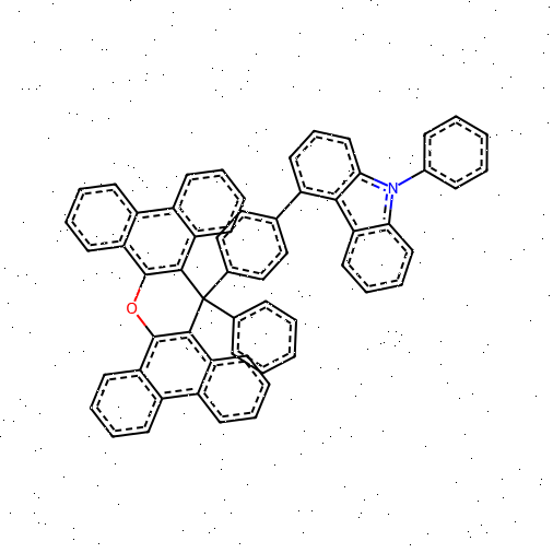 c1ccc(-n2c3ccccc3c3c(-c4ccc(C5(c6ccccc6)c6c(c7ccccc7c7ccccc67)Oc6c5c5ccccc5c5ccccc65)cc4)cccc32)cc1